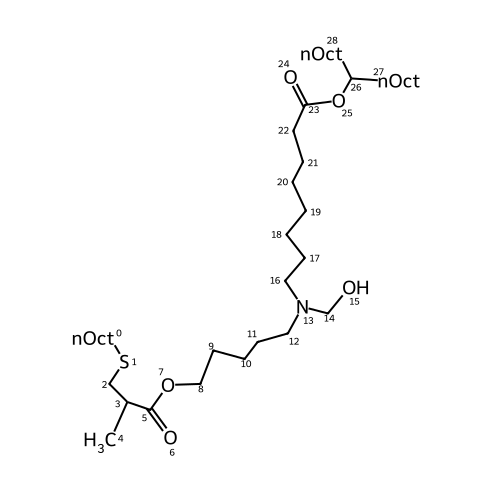 CCCCCCCCSCC(C)C(=O)OCCCCCN(CO)CCCCCCCC(=O)OC(CCCCCCCC)CCCCCCCC